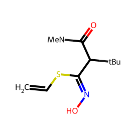 C=CSC(=NO)C(C(=O)NC)C(C)(C)C